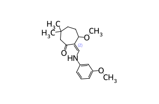 COc1cccc(N/C=C2\C(=O)CC(C)(C)CCC2OC)c1